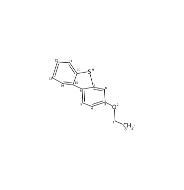 [CH2]COc1ccc2c(c1)sc1ccccc12